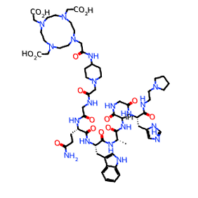 CC(C)C(NC(=O)[C@H](C)NC(=O)[C@H](Cc1c[nH]c2ccccc12)NC(=O)[C@H](CCC(N)=O)NC(=O)CNC(=O)CN1CCC(NC(=O)CN2CCN(CC(=O)O)CCN(CC(=O)O)CCN(CC(=O)O)CC2)CC1)C(=O)NCC(=O)N[C@@H](Cc1cnc[nH]1)C(=O)NCCN1CCCC1